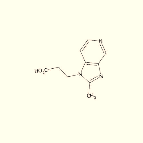 Cc1nc2cnccc2n1CCC(=O)O